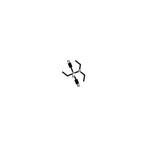 CCN(CC)[PH](C#N)(C#N)CC